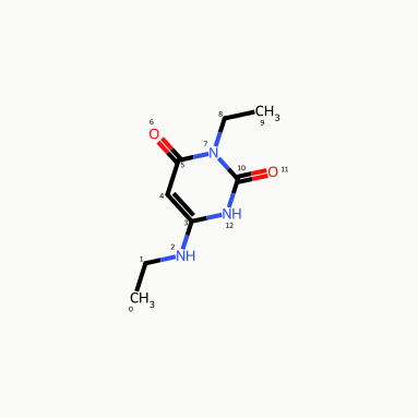 CCNc1cc(=O)n(CC)c(=O)[nH]1